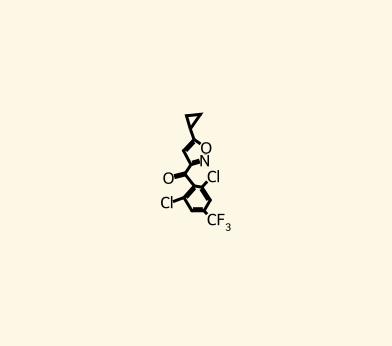 O=C(c1cc(C2CC2)on1)c1c(Cl)cc(C(F)(F)F)cc1Cl